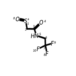 O=[S+]CC(=O)NCC(F)(F)F